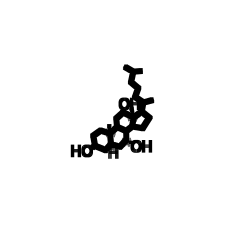 CC(C)CCCC(C)C1CCC2C3C(CC(O)[C@]12C)[C@@]1(C)CCC(O)C[C@H]1C[C@H]3O